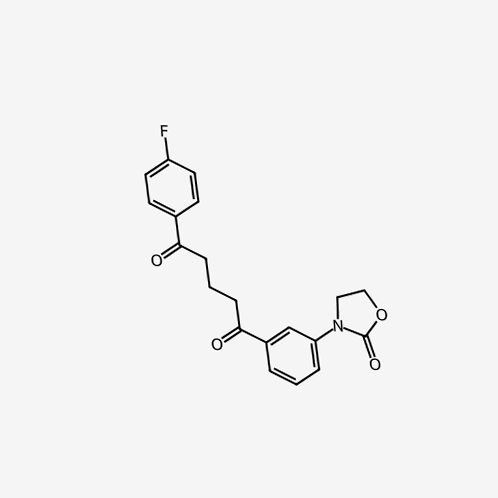 O=C(CCCC(=O)c1cccc(N2CCOC2=O)c1)c1ccc(F)cc1